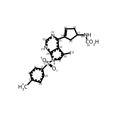 Cc1ccc(S(=O)(=O)n2cc(I)c3c(C4=CCC(NC(=O)O)C4)ncnc32)cc1